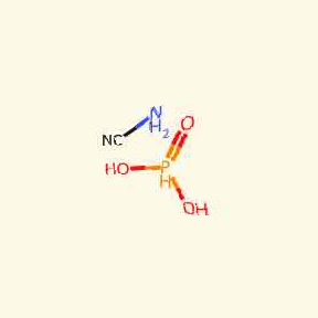 N#CN.O=[PH](O)O